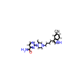 CC1CN(CCCCc2c[nH]c3ccc(C#N)cc23)CCN1c1nccc(C(N)=O)n1